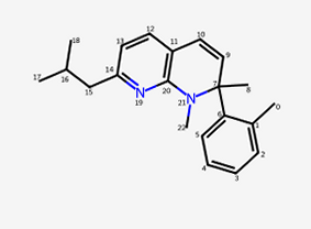 Cc1ccccc1C1(C)C=Cc2ccc(CC(C)C)nc2N1C